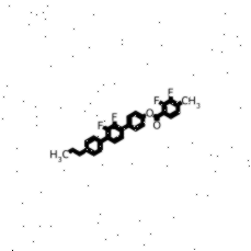 CCCc1ccc(-c2ccc(-c3ccc(OC(=O)c4ccc(C)c(F)c4F)cc3)c(F)c2F)cc1